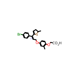 Cc1cc(OC/C=C(\C2=CCC(C)S2)c2ccc(Br)cc2)ccc1OCC(=O)O